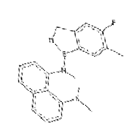 Cc1cc2c(cc1F)COB2N(C)c1cccc2cccc(N(C)C)c12